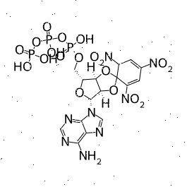 Nc1ncnc2c1ncn2[C@@H]1O[C@H](COP(=O)(O)OP(=O)(O)OP(=O)(O)O)[C@H]2OC3(O[C@H]21)C([N+](=O)[O-])=CC([N+](=O)[O-])=CC3[N+](=O)[O-]